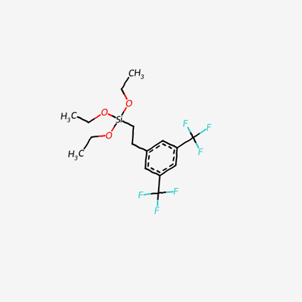 CCO[Si](CCc1cc(C(F)(F)F)cc(C(F)(F)F)c1)(OCC)OCC